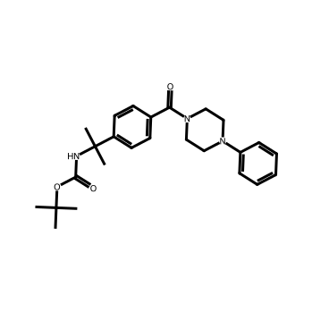 CC(C)(C)OC(=O)NC(C)(C)c1ccc(C(=O)N2CCN(c3ccccc3)CC2)cc1